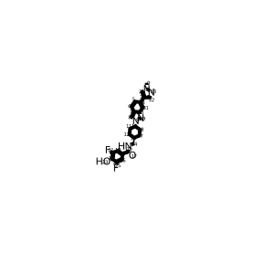 Cn1cc(-c2ccc3cn([C@H]4CC[C@H](CNC(=O)c5cc(F)c(O)c(F)c5)CC4)nc3c2)cn1